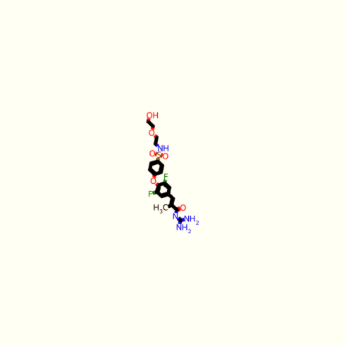 C/C(=C\c1cc(F)c(Oc2ccc(S(=O)(=O)NCCOCCO)cc2)c(F)c1)C(=O)N=C(N)N